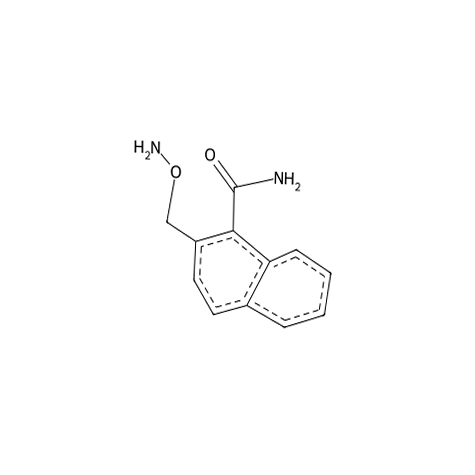 NOCc1ccc2ccccc2c1C(N)=O